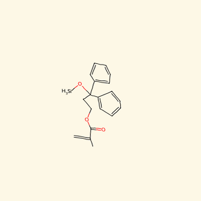 C=C(C)C(=O)OCCC(O[SiH3])(c1ccccc1)c1ccccc1